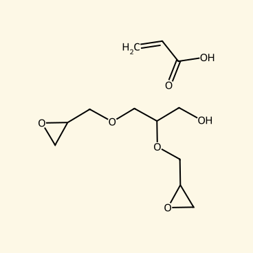 C=CC(=O)O.OCC(COCC1CO1)OCC1CO1